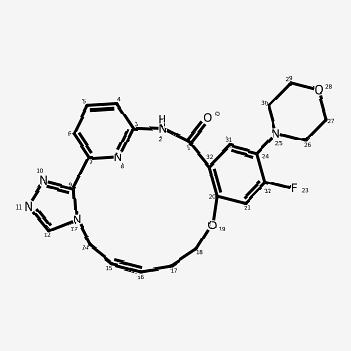 O=C1Nc2cccc(n2)-c2nncn2C/C=C\CCOc2cc(F)c(N3CCOCC3)cc21